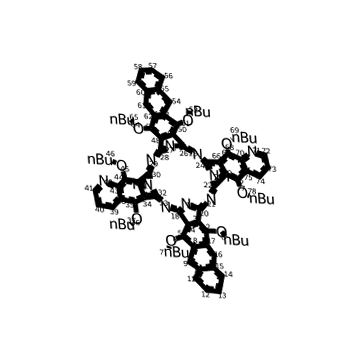 CCCCOc1c2c(c(OCCCC)c3cc4ccccc4cc13)-c1nc-2nc2[nH]c(nc3nc(nc4[nH]c(n1)c1c(OCCCC)c5cccnc5c(OCCCC)c41)-c1c-3c(OCCCC)c3cc4ccccc4cc3c1OCCCC)c1c(OCCCC)c3ncccc3c(OCCCC)c21